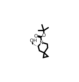 CC(C)(C)OC(=O)N1CCC2(CC2)C[C@@H]1CO